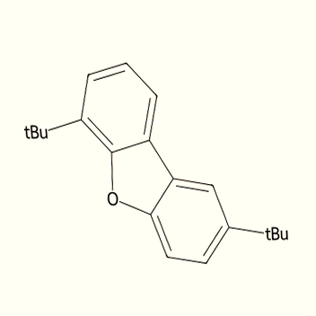 CC(C)(C)c1ccc2oc3c(C(C)(C)C)cccc3c2c1